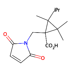 CC(C)C1(C)C(C)(C)C1(CN1C(=O)C=CC1=O)C(=O)O